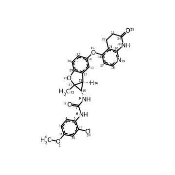 COc1ccc(NC(=O)N[C@H]2[C@@H]3c4cc(Oc5ccnc6c5CCC(=O)N6)ccc4OC23C)c(Cl)c1